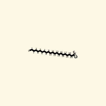 CCCCCCCCCCCCCCCCCCCCCC(=O)[S]